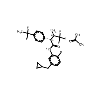 C[C@H]([C@H](C(=O)Nc1cc(CC2CC2)ccc1F)c1ccc(C(C)(F)F)cc1)C(F)(F)F.O=C(O)O